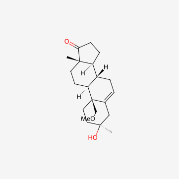 COC[C@]12CC[C@](C)(O)CC1=CC[C@@H]1[C@@H]2CC[C@]2(C)C(=O)CC[C@@H]12